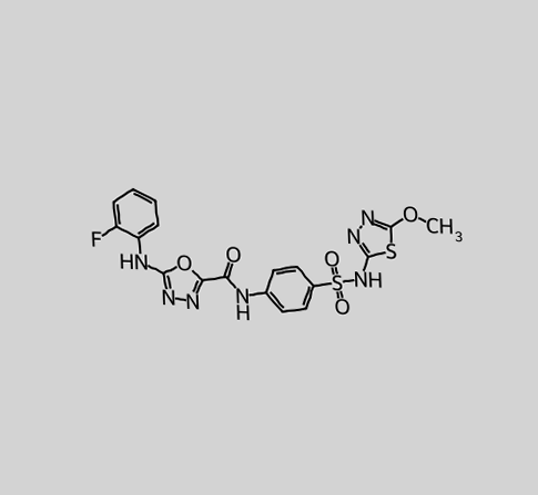 COc1nnc(NS(=O)(=O)c2ccc(NC(=O)c3nnc(Nc4ccccc4F)o3)cc2)s1